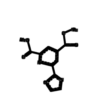 COC(=O)c1cc(C(=O)OC(C)(C)C)cc(-c2ncco2)n1